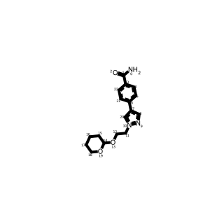 NC(=O)c1ccc(-c2cnn(CCOC3CCCCO3)c2)cc1